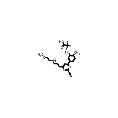 COCCNCCCc1cc(-c2ccc(C)c(C)c2)nc(C#N)n1.O=C(O)C(F)(F)F